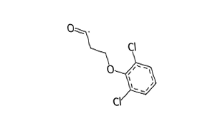 O=[C]CCOc1c(Cl)cccc1Cl